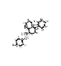 Cc1ccc(SNc2ccc(-c3ccccc3)c3cccnc23)cc1